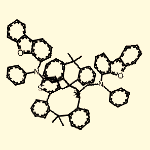 CC1(C)c2ccccc2-c2cc(N(c3ccccc3)c3cccc4c3oc3ccccc34)sc2C2(c3ccccc3C(C)(C)c3ccccc32)c2cc(N(c3ccccc3)c3cccc4c3oc3ccccc34)sc2-c2ccccc21